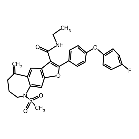 C=C1CCCN(S(C)(=O)=O)c2cc3oc(-c4ccc(Oc5ccc(F)cc5)cc4)c(C(=O)NCC)c3cc21